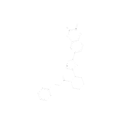 O=C(COc1ccccc1)N1CCCCC1c1noc(-c2ccc3[nH]c(=O)c(=O)[nH]c3c2)n1